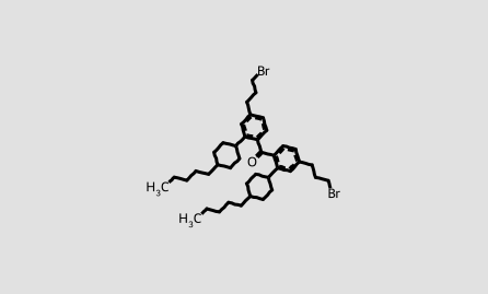 CCCCCC1CCC(c2cc(CCCBr)ccc2C(=O)c2ccc(CCCBr)cc2C2CCC(CCCCC)CC2)CC1